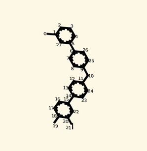 Cc1cccc(-c2ccc(Cc3ccc(-c4ccc(C)c(I)c4)cc3)cc2)c1